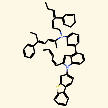 C/C=C\C=C/c1cc2c(-c3cccc(N(C/C=C\C(=C/CC)C4=CCCC=C4)/C(C)=C/C=C(\CC)c4ccccc4)c3)cccc2n1-c1ccc2c(c1)sc1ccccc12